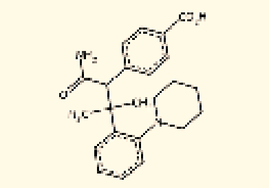 CC(C)(c1ccccc1N1CCCCC1)C(C(N)=O)c1ccc(C(=O)O)cc1